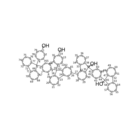 Oc1ccc(C2(c3ccc(C4(c5ccc(O)cc5)c5ccccc5-c5cc(-c6cccc7c6-c6ccccc6C7(O)c6ccc(C7(O)c8ccccc8-c8ccccc87)cc6)ccc54)cc3)c3ccccc3-c3ccccc32)cc1